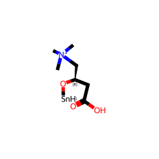 C[N+](C)(C)C[C@@H](CC(=O)O)[O][SnH]